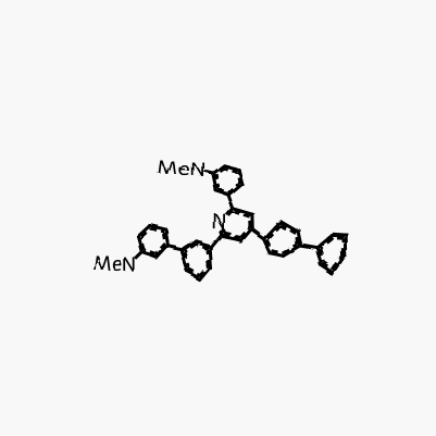 CNc1cccc(-c2cccc(-c3cc(-c4ccc(-c5ccccc5)cc4)cc(-c4cccc(NC)c4)n3)c2)c1